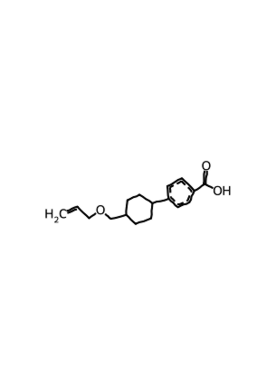 C=CCOCC1CCC(c2ccc(C(=O)O)cc2)CC1